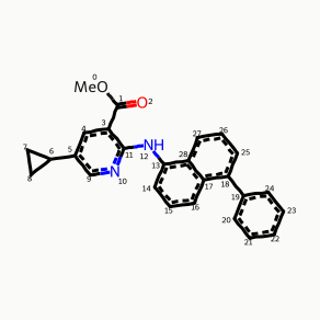 COC(=O)c1cc(C2CC2)cnc1Nc1cccc2c(-c3ccccc3)cccc12